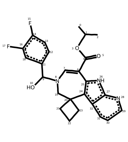 CC(C)OC(=O)C1=CN(C(O)c2ccc(F)c(F)c2)CC2(CCC2)c2c1[nH]c1ncccc21